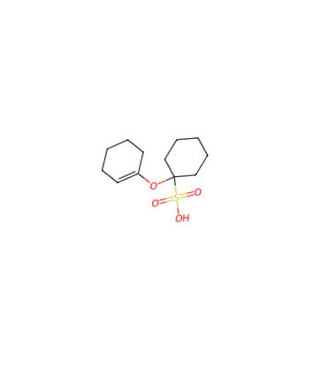 O=S(=O)(O)C1(OC2=CCCCC2)CCCCC1